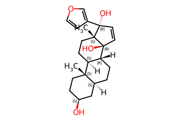 C[C@]12CC[C@H](O)C[C@@H]1CC[C@@H]1[C@@H]2CC[C@]2(C)[C@@](O)(c3ccoc3)C=C[C@]12O